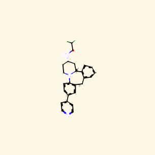 C[C@@H]1c2ccccc2[C@H]2C[C@H](NC(=O)C(F)F)CCN2c2ccc(-c3ccncc3)cc21